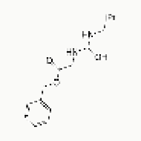 CC(C)CNC(O)NCC(=O)OCc1ccccc1